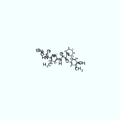 Cc1ccc([C@@H]2CCCCN2C(=O)C(=O)Nc2cnc(NC(=O)OC(C)(C)C)c(C)c2)cc1O